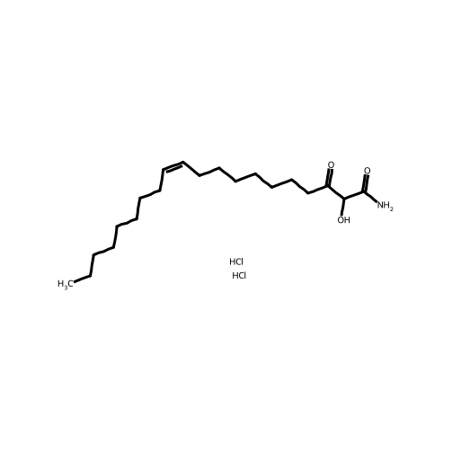 CCCCCCCC/C=C\CCCCCCCC(=O)C(O)C(N)=O.Cl.Cl